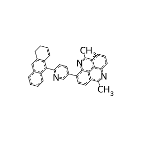 Cc1nc2c(-c3ccc(-c4c5c(cc6ccccc46)CCC=C5)nc3)ccc3c(C)nc4cccc1c4c32